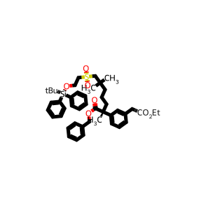 CCOC(=O)Cc1cccc([C@@](C)(CCCC(C)(C)CS(=O)(=O)CCO[Si](c2ccccc2)(c2ccccc2)C(C)(C)C)C(=O)OCc2ccccc2)c1